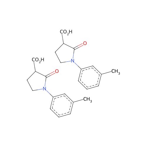 Cc1cccc(N2CCC(C(=O)O)C2=O)c1.Cc1cccc(N2CCC(C(=O)O)C2=O)c1